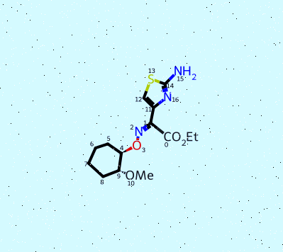 CCOC(=O)/C(=N\O[C@@H]1CCCC[C@H]1OC)c1csc(N)n1